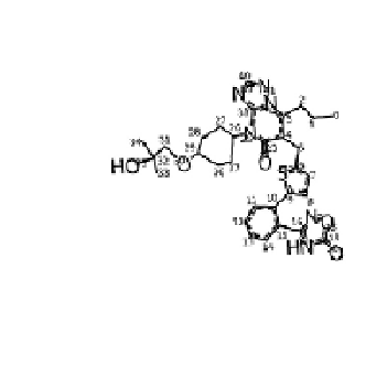 CCCc1c(Cc2ccc(-c3ccccc3-c3noc(=O)[nH]3)s2)c(=O)n(C2CCC(OCC(C)(C)O)CC2)c2ncnn12